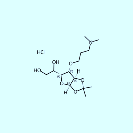 CN(C)CCCO[C@@H]1[C@H]2OC(C)(C)O[C@H]2O[C@@H]1C(O)CO.Cl